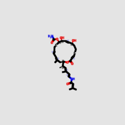 CC(C)=CC(=O)N/C=C/C(C)=C/[C@H](C)[C@H]1C/C(C)=C/C=C/CC[C@@H](OC(N)=O)[C@H](O)/C=C/[C@H](O)CCC/C=C/C(=O)O1